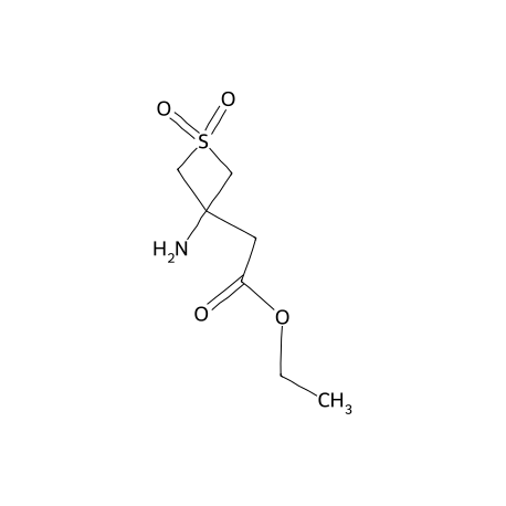 CCOC(=O)CC1(N)CS(=O)(=O)C1